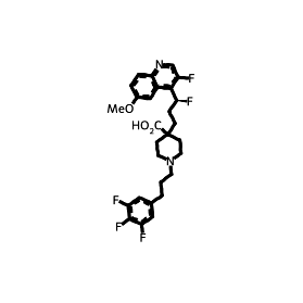 COc1ccc2ncc(F)c([C@@H](F)CCC3(C(=O)O)CCN(CCCc4cc(F)c(F)c(F)c4)CC3)c2c1